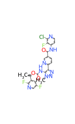 C[C@@H](OC(=O)Nc1c(-c2ccc(C(=O)Nc3ccnc(Cl)c3F)cn2)nnn1C)c1cc(F)cnc1F